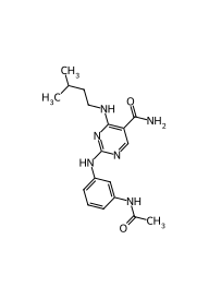 CC(=O)Nc1cccc(Nc2ncc(C(N)=O)c(NCCC(C)C)n2)c1